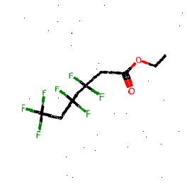 CCOC(=O)CC(F)(F)C(F)(F)CC(F)(F)F